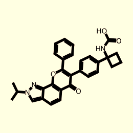 CC(C)n1cc2ccc3c(=O)c(-c4ccc(C5(NC(=O)O)CCC5)cc4)c(-c4ccccc4)oc3c2n1